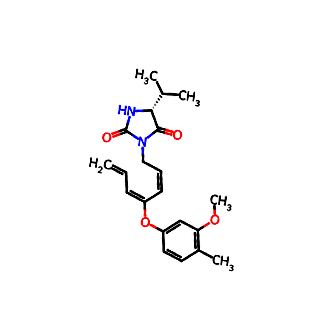 C=C/C=C(\C=C/CN1C(=O)N[C@H](C(C)C)C1=O)Oc1ccc(C)c(OC)c1